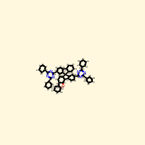 c1ccc(-c2nc(-c3ccccc3)nc(-c3ccc4c(c3)C3(c5ccccc5-4)c4cc(-c5nc(-c6ccccc6)nc(-c6ccccc6)n5)ccc4-c4c3ccc3c4oc4ccccc43)n2)cc1